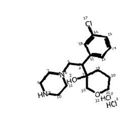 Cl.Cl.OC1(C(CN2CCNCC2)c2cccc(Cl)c2)CCCOC1